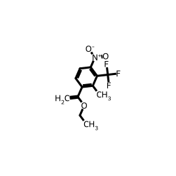 C=C(OCC)c1ccc([N+](=O)[O-])c(C(F)(F)F)c1C